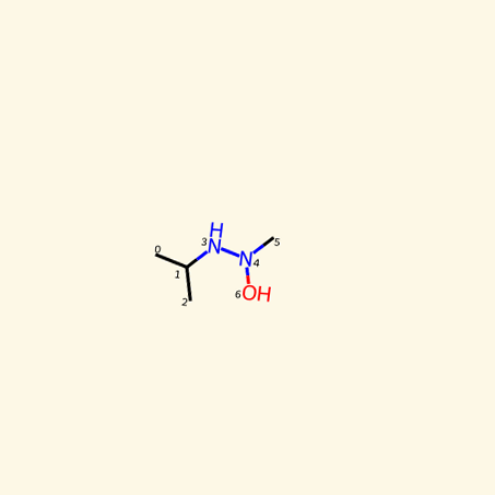 CC(C)NN(C)O